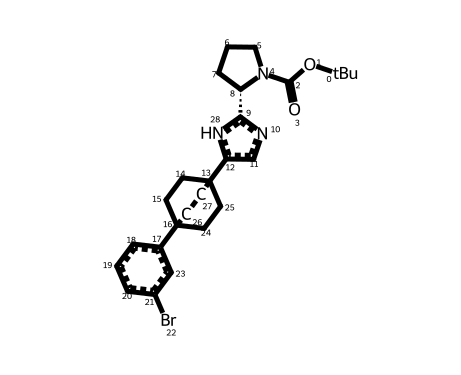 CC(C)(C)OC(=O)N1CCC[C@H]1c1ncc(C23CCC(c4cccc(Br)c4)(CC2)CC3)[nH]1